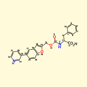 O=C(NC(Cc1ccccc1)C(=O)O)OCc1cc2cc(-c3cccnc3)ccc2o1